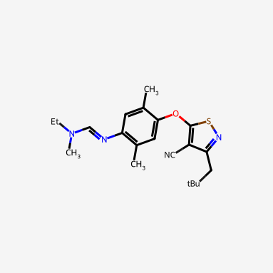 CCN(C)C=Nc1cc(C)c(Oc2snc(CC(C)(C)C)c2C#N)cc1C